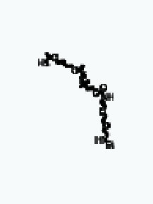 CCNCCOCCOCCNC(=O)OCCC(C)(C)SSC(C)OCCCCOC(C)S